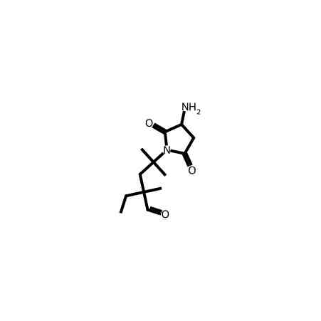 CCC(C)(C=O)CC(C)(C)N1C(=O)CC(N)C1=O